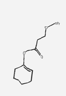 CCCOCCC(=O)OC1=CCCCC1